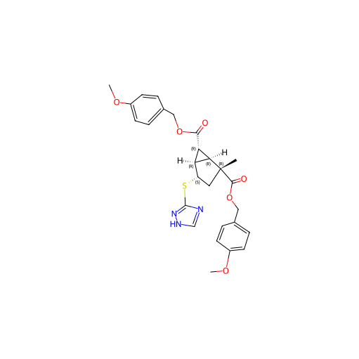 COc1ccc(COC(=O)[C@H]2[C@H]3[C@@H]2[C@](C)(C(=O)OCc2ccc(OC)cc2)C[C@@H]3Sc2nc[nH]n2)cc1